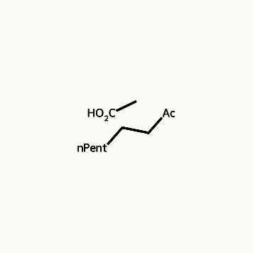 CC(=O)O.CCCCCCCC(C)=O